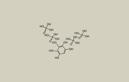 O=P(O)(O)O.O=P(O)(O)O.O=P(O)(O)O.O=P(O)(O)O.Oc1cc(O)c(O)c(O)c1O